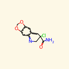 NC(=O)C1(Cl)C=c2cc3c(cc2=NC1)OCO3